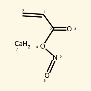 C=CC(=O)ON=O.[CaH2]